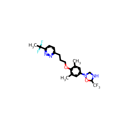 Cc1cc(N2CNC(C(F)(F)F)O2)cc(C)c1OCCCc1ccc(C(C)(F)F)nn1